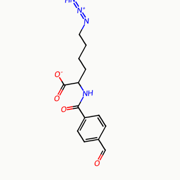 N=[N+]=NCCCCC(NC(=O)c1ccc(C=O)cc1)C(=O)[O-]